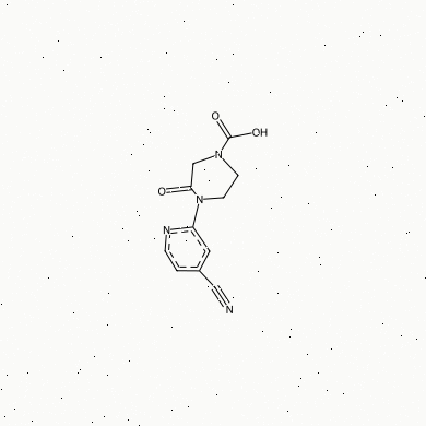 N#Cc1ccnc(N2CCN(C(=O)O)CC2=O)c1